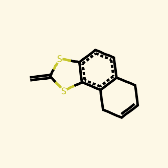 C=C1Sc2ccc3c(c2S1)CC=CC3